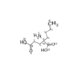 CCCC[C@](N)(CCC(=O)O)C(=O)O